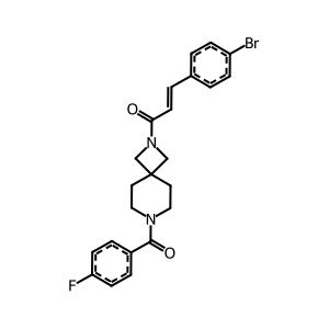 O=C(C=Cc1ccc(Br)cc1)N1CC2(CCN(C(=O)c3ccc(F)cc3)CC2)C1